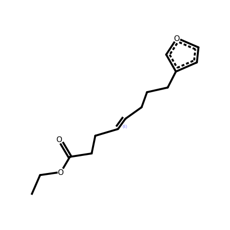 CCOC(=O)CC/C=C/CCCc1ccoc1